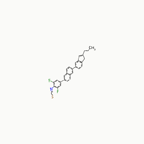 CCCC1=Cc2cc(-c3ccc4cc(-c5cc(F)c(N=C=S)c(F)c5)ccc4c3)ccc2C1